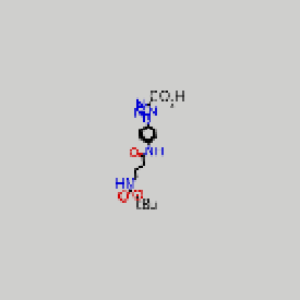 CC(C)(C)OC(=O)NCCCC(=O)Nc1ccc(-n2nnc(C(=O)O)n2)cc1